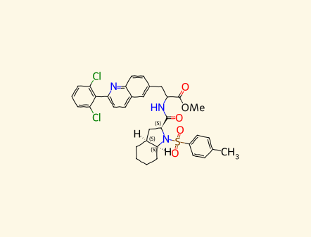 COC(=O)C(Cc1ccc2nc(-c3c(Cl)cccc3Cl)ccc2c1)NC(=O)[C@@H]1C[C@@H]2CCCC[C@@H]2N1S(=O)(=O)c1ccc(C)cc1